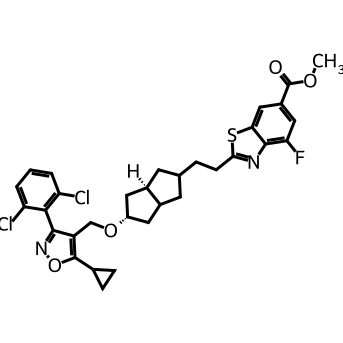 COC(=O)c1cc(F)c2nc(CCC3CC4C[C@H](OCc5c(-c6c(Cl)cccc6Cl)noc5C5CC5)C[C@H]4C3)sc2c1